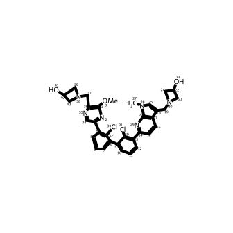 COc1nc(-c2cccc(-c3cccc(-c4ccc5c(CN6CC(O)C6)cn(C)c5n4)c3Cl)c2Cl)cnc1CN1CC(O)C1